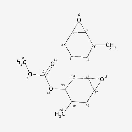 CC1CCCC2OC12.COC(=O)OC1CC2OC2CC1C